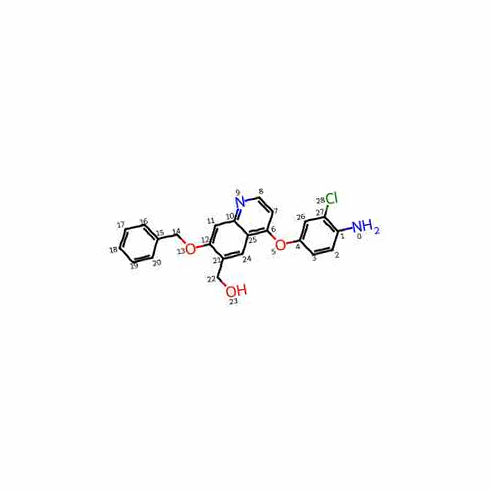 Nc1ccc(Oc2ccnc3cc(OCc4ccccc4)c(CO)cc23)cc1Cl